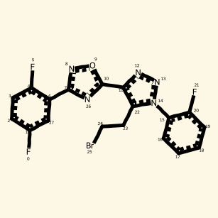 Fc1ccc(F)c(-c2noc(-c3nnn(-c4ccccc4F)c3CCBr)n2)c1